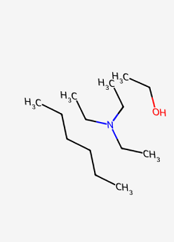 CCCCCC.CCN(CC)CC.CCO